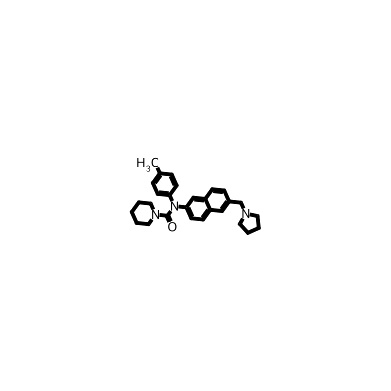 Cc1ccc(N(C(=O)N2CCCCC2)c2ccc3cc(CN4CCCC4)ccc3c2)cc1